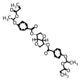 C=CC(=O)OC(C)Oc1ccc(C(=O)O[C@@H]2CO[C@H]3[C@@H]2OC[C@H]3OC(=O)c2ccc(OC(C)OC(=O)C=C)cc2)cc1